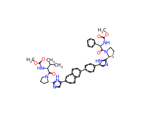 COC(=O)NC(C(=O)N1CCS[C@H]1c1ncc(-c2ccc(-c3ccc4cc(-c5cnc([C@@H]6CCCN6C(=O)[C@@H](NC(=O)OC)C(C)C)[nH]5)ccc4c3)cc2)[nH]1)c1ccccc1